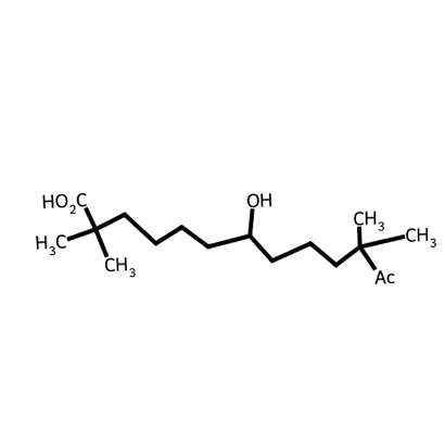 CC(=O)C(C)(C)CCCC(O)CCCCC(C)(C)C(=O)O